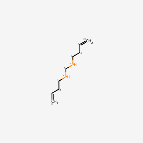 C=CCCPCPCCC=C